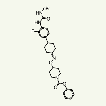 CCCNC(=O)Nc1ccc(C2CCC(=NOC3CCN(C(=O)Oc4ccccc4)CC3)CC2)cc1F